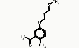 CSCCCNc1ccc(N)c(C(N)=O)c1